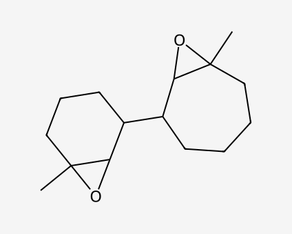 CC12CCCCC(C3CCCC4(C)OC34)C1O2